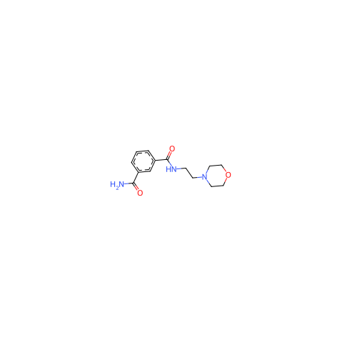 NC(=O)c1cccc(C(=O)NCCN2CCOCC2)c1